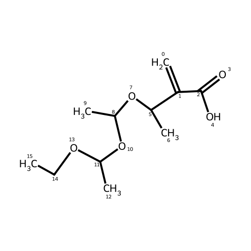 C=C(C(=O)O)C(C)OC(C)OC(C)OCC